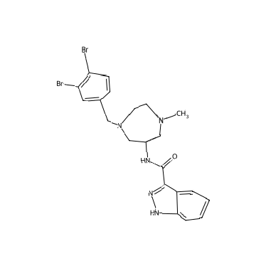 CN1CCN(Cc2ccc(Br)c(Br)c2)CC(NC(=O)c2n[nH]c3ccccc23)C1